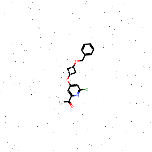 CC(=O)c1cc(OC2CC(OCc3ccccc3)C2)cc(Cl)n1